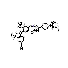 COc1cc(/C=C2/SC(N3CCC(N(C)C)CC3)=NC2=O)ccc1Oc1ccc(C#N)cc1C(F)(F)F